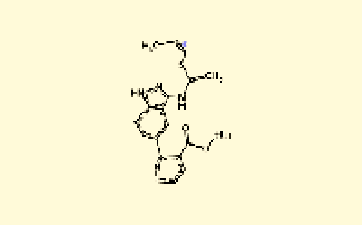 C=C(Nc1n[nH]c2ccc(-c3ncccc3C(=O)OC(C)(C)C)cc12)S/C=C\C